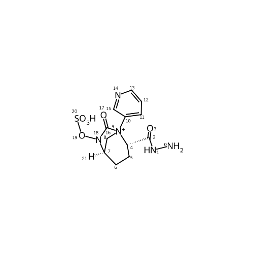 NNC(=O)[C@@H]1CC[C@@H]2C[N+]1(c1cccnc1)C(=O)N2OS(=O)(=O)O